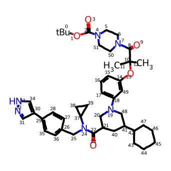 CC(C)(C)OC(=O)N1CCN(C(=O)C(C)(C)Oc2cccc(N3CC(C(=O)N(Cc4ccc(-c5cn[nH]c5)cc4)C4CC4)CC(C4CCCCC4)C3)c2)CC1